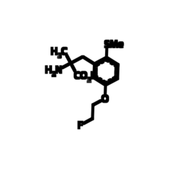 CSc1ccc(OCCF)cc1CC(C)(N)C(=O)O